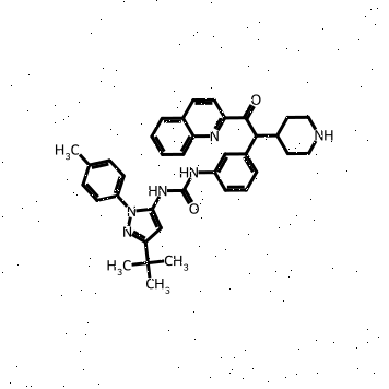 Cc1ccc(-n2nc(C(C)(C)C)cc2NC(=O)Nc2cccc(C(C(=O)c3ccc4ccccc4n3)C3CCNCC3)c2)cc1